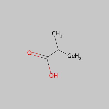 C[CH]([GeH3])C(=O)O